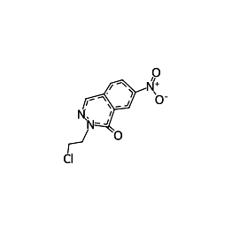 O=c1c2cc([N+](=O)[O-])ccc2cnn1CCCl